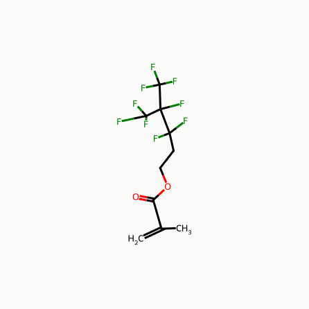 C=C(C)C(=O)OCCC(F)(F)C(F)(C(F)(F)F)C(F)(F)F